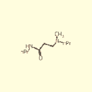 CCCNC(=O)CCN(C)CCC